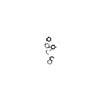 COc1cc2c(cc1Cl)CN(C[C@@H](C)COc1ccnc3c1[C@H](C)CCC3)C21CCC(Nc2cccc(Cl)c2)(C(=O)O)CC1